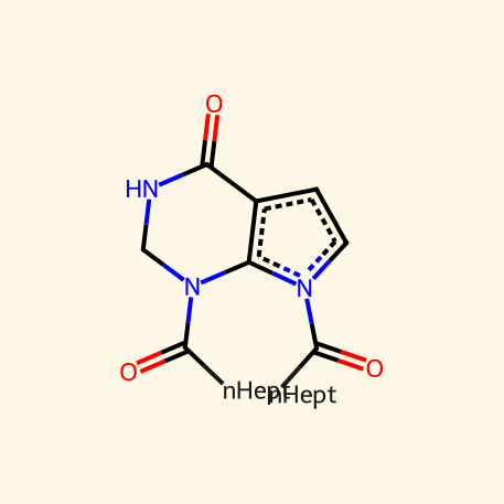 CCCCCCCC(=O)N1CNC(=O)c2ccn(C(=O)CCCCCCC)c21